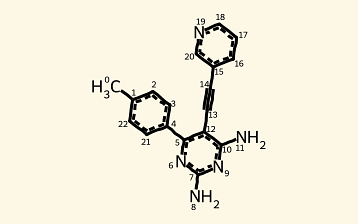 Cc1ccc(-c2nc(N)nc(N)c2C#Cc2cccnc2)cc1